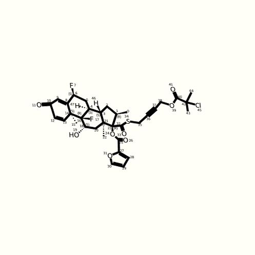 C[C@@H]1C[C@H]2[C@@H]3C[C@H](F)C4=CC(=O)C=C[C@]4(C)[C@@]3(F)[C@@H](O)C[C@]2(C)[C@@]1(OC(=O)c1ccco1)C(=O)SCC#CCOC(=O)C(C)(C)Cl